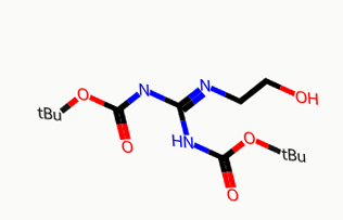 CC(C)(C)OC(=O)[N]C(=NCCO)NC(=O)OC(C)(C)C